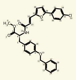 COC(=O)[C@H](Cc1ccc(OCc2ccccc2)cc1)NC(=O)C=Cc1ccc(-c2ccc(Cl)cc2)o1